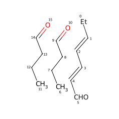 CCC=CC=CC=O.CCCC=O.CCCC=O